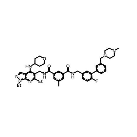 CCc1nc2c(cnn2CC)c(NC2CCOCC2)c1CNC(=O)c1cc(C)cc(C(=O)NCc2ccc(F)c(-c3cccc(CN4CCN(C)CC4)c3)c2)c1